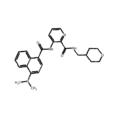 CN(C)c1ccc(C(=O)Nc2cccnc2C(=O)NCC2CCOCC2)c2ccccc12